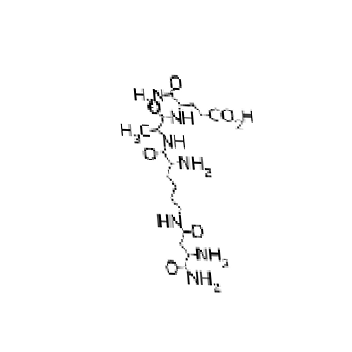 CC(NC(=O)C(N)CCCCNC(=O)CC(N)C(N)=O)C(=O)NC(CCC(=O)O)C(N)=O